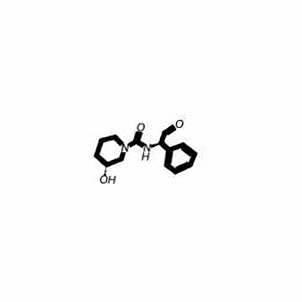 O=C[C@H](NC(=O)N1CCC[C@@H](O)C1)c1ccccc1